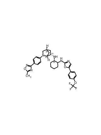 Cc1nc(-c2ccc(N3C[C@@H]4C[C@H](N[C@@H]5CCCCC5Nc5ncc(-c6ccc(OC(F)(F)F)cc6)o5)[C@H]3C4)cc2)no1